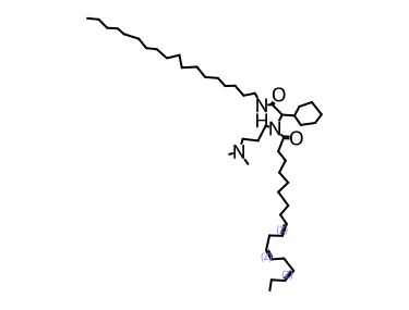 CC/C=C\C/C=C\C/C=C\CCCCCCCC(=O)N(CCCN(C)C)C(C(=O)NCCCCCCCCCCCCCCCCCC)C1CCCCC1